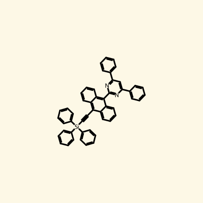 C(#C[Si](c1ccccc1)(c1ccccc1)c1ccccc1)c1c2ccccc2c(-c2nc(-c3ccccc3)cc(-c3ccccc3)n2)c2ccccc12